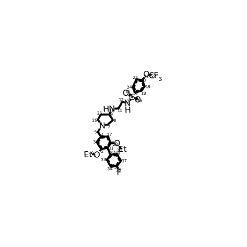 CCOc1cc(CN2CCC(NCCNS(=O)(=O)c3ccc(OC(F)(F)F)cc3)CC2)cc(OCC)c1-c1ccc(F)cc1